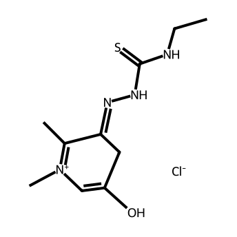 CCNC(=S)NN=C1CC(O)=C[N+](C)=C1C.[Cl-]